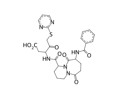 O=C(O)CC(NC(=O)C1CCCN2C(=O)CCC(NC(=O)c3ccccc3)C(=O)N12)C(=O)CSc1ncccn1